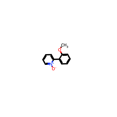 COc1ccccc1-c1cccc[n+]1[O-]